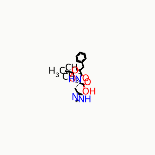 CC(C)(C)C(=O)OC(Cc1ccccc1)C(=O)N[C@@H](Cc1c[nH]cn1)C(=O)O